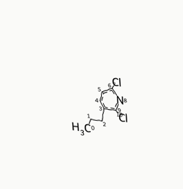 CCCc1ccc(Cl)nc1Cl